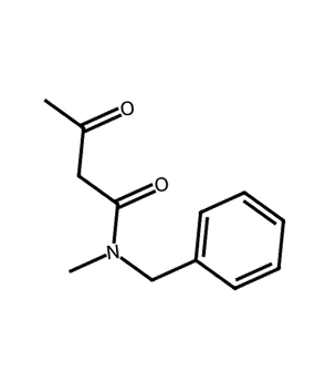 CC(=O)CC(=O)N(C)Cc1ccccc1